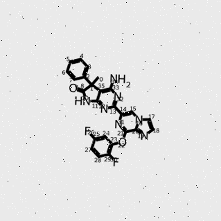 CC1(c2ccccc2)C(=O)Nc2nc(-c3cn4ccnc4c(Oc4cc(F)ccc4F)n3)nc(N)c21